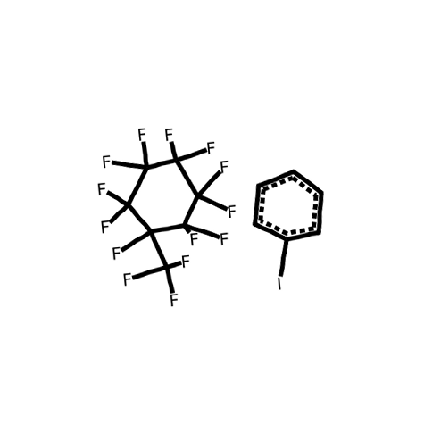 FC(F)(F)C1(F)C(F)(F)C(F)(F)C(F)(F)C(F)(F)C1(F)F.Ic1ccccc1